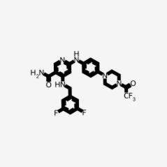 NC(=O)c1cnc(Nc2ccc(N3CCN(C(=O)C(F)(F)F)CC3)cc2)cc1NCc1cc(F)cc(F)c1